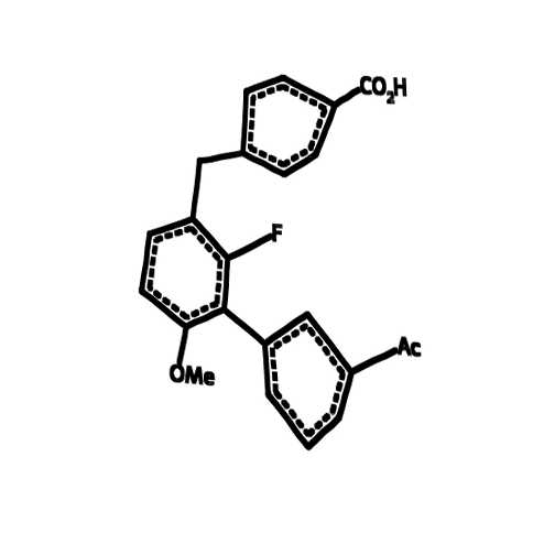 COc1ccc(Cc2ccc(C(=O)O)cc2)c(F)c1-c1cccc(C(C)=O)c1